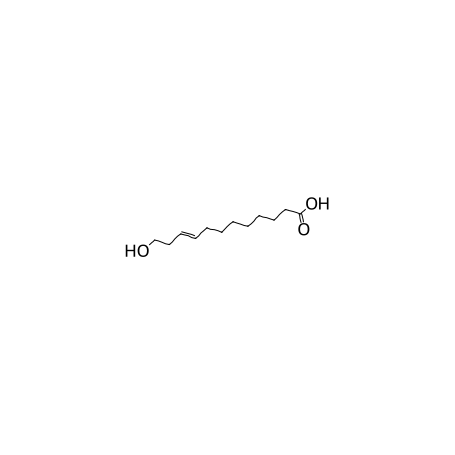 O=C(O)CCCCCCCC=CCCO